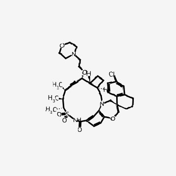 C[C@@H]1[C@@H](C)S(=O)(=O)NC(=O)c2ccc3c(c2)N(C[C@@H]2CC[C@H]2[C@@H](OCCN2CCOCC2)/C=C/[C@@H]1C)C[C@@]1(CCCc2cc(Cl)ccc21)CO3